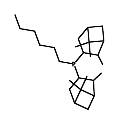 CCCCCCP(C1CC2CC(C1C)C2(C)C)C1CC2CC(C1C)C2(C)C